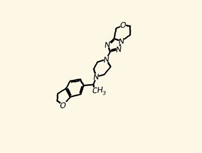 CC(c1ccc2c(c1)OCC2)N1CCN(c2nc3n(n2)CCOC3)CC1